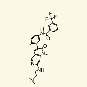 Cc1ccc(NC(=O)c2cccc(C(F)(F)F)c2)cc1-c1cc2cnc(NCCN(C)C)cc2n(C)c1=O